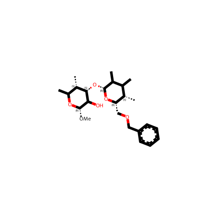 CO[C@@H]1OC(C)[C@H](C)[C@H](O[C@H]2O[C@@H](COCc3ccccc3)[C@@H](C)C(C)C2C)C1O